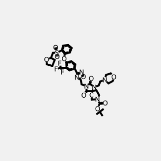 CC(C)(C)OC(=O)N1CCC2(CC1)C(=O)N(Cc1nc(-c3ccc(Oc4ccccc4S(=O)(=O)CC4CCCO4)c(C(F)(F)F)c3)no1)C(=O)N2CCN1CCOCC1